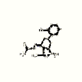 Cc1n[nH]c2c1/C(=N\NC(=N)N)CC(c1ccccc1O)C2.Cl